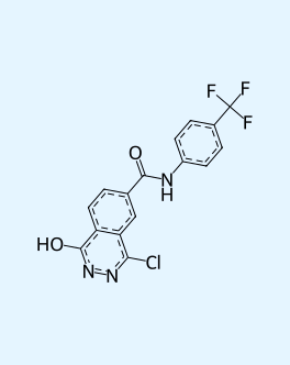 O=C(Nc1ccc(C(F)(F)F)cc1)c1ccc2c(O)nnc(Cl)c2c1